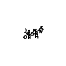 CCC(C)N(C(=O)Nc1ccc2[nH]c(-c3cscn3)nc2c1)c1ccccc1